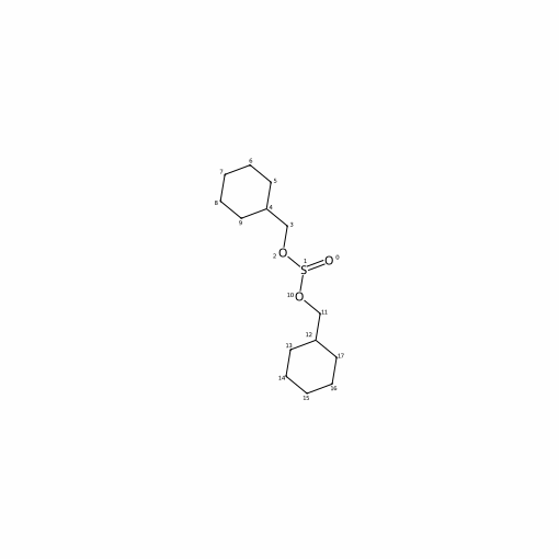 O=S(OCC1CCCCC1)OCC1CCCCC1